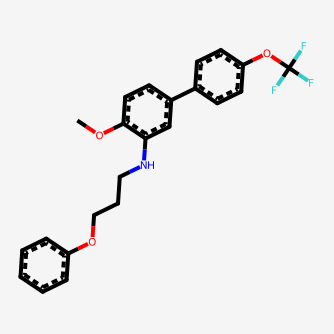 COc1ccc(-c2ccc(OC(F)(F)F)cc2)cc1NCCCOc1ccccc1